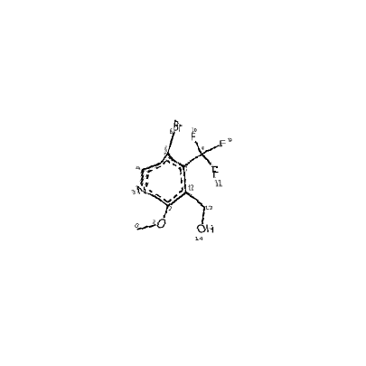 COc1ncc(Br)c(C(F)(F)F)c1CO